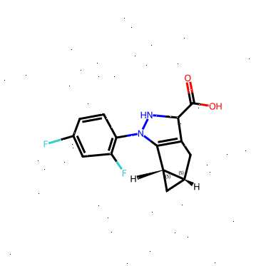 O=C(O)C1NN(c2ccc(F)cc2F)C2=C1C[C@@H]1C[C@H]21